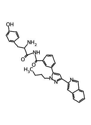 CCCCn1nc(-c2cc3ccccc3cn2)cc1-c1cccc(C(=O)NC(=O)C(N)Cc2ccc(O)cc2)c1